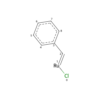 [Cl][Ru]=[CH]c1ccccc1